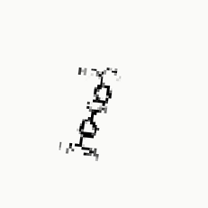 CC(C)c1ccc(-c2nc3ccc(C(C)C)cc3o2)cc1